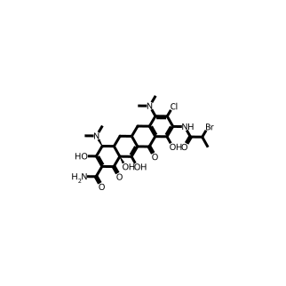 CC(Br)C(=O)Nc1c(O)c2c(c(N(C)C)c1Cl)CC1CC3[C@H](N(C)C)C(O)=C(C(N)=O)C(=O)[C@@]3(O)C(O)=C1C2=O